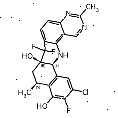 Cc1ncc2c(N[C@H]3c4cc(Cl)c(F)c(O)c4[C@@H](C)C[C@]3(O)C(F)(F)F)cccc2n1